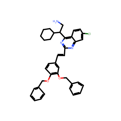 NCC(c1nc(C=Cc2ccc(OCc3ccccc3)c(OCc3ccccc3)c2)nc2cc(Cl)ccc12)C1CCCCC1